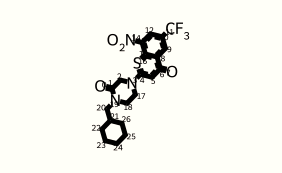 O=C1CN(c2cc(=O)c3cc(C(F)(F)F)cc([N+](=O)[O-])c3s2)CCN1CC1CCCCC1